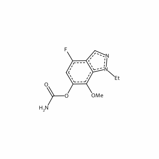 CCn1ncc2c(F)cc(OC(N)=O)c(OC)c21